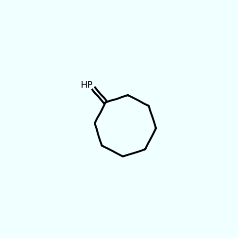 P=C1CCCCCCC1